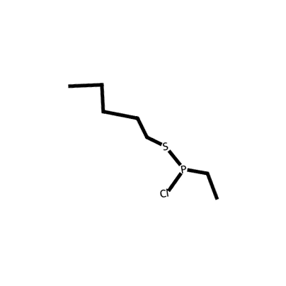 CCCCCSP(Cl)CC